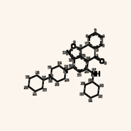 O=C1c2ccccc2-c2onc3c(N4CCN(C5CCCCC5)CC4)cc(NC4CCCCC4)c1c23